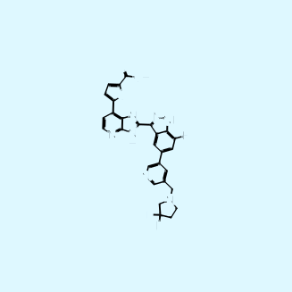 CC(=O)c1ccc(-c2ccnc3[nH]c(-c4n[nH]c5c(F)cc(-c6cncc(CN7CCC(F)(F)C7)c6)cc45)nc23)s1